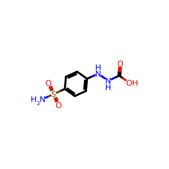 NS(=O)(=O)c1ccc(NNC(=O)O)cc1